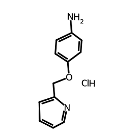 Cl.Nc1ccc(OCc2ccccn2)cc1